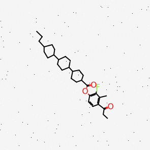 CCCC1CCC(C2CCC(C3CCC(C(=O)Oc4ccc(C(=O)CC)c(C)c4F)CC3)CC2)CC1